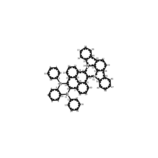 c1ccc(B2c3ccccc3B(c3ccccc3)c3c2c2cccc4c2c2c3cccc2c2c4n3c4ccccc4c4ccc5c6ccccc6n2c5c43)cc1